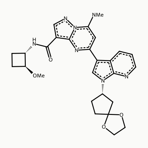 CNc1cc(-c2cn([C@H]3CCC4(C3)OCCO4)c3ncccc23)nc2c(C(=O)N[C@H]3CC[C@@H]3OC)cnn12